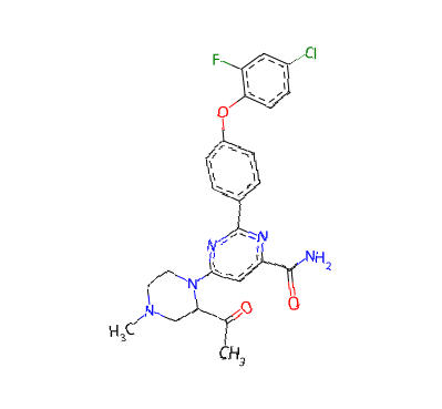 CC(=O)C1CN(C)CCN1c1cc(C(N)=O)nc(-c2ccc(Oc3ccc(Cl)cc3F)cc2)n1